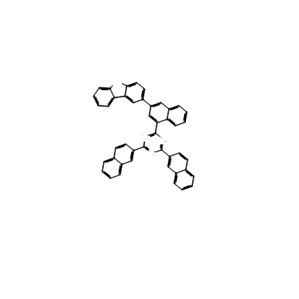 c1ccc2cc(-c3nc(-c4ccc5ccccc5c4)nc(-c4cc(-c5ccc6oc7ccccc7c6c5)cc5ccccc45)n3)ccc2c1